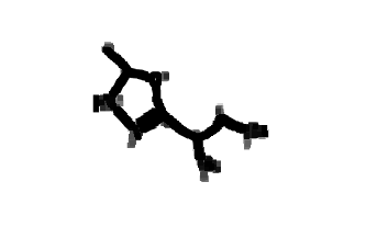 CC1NN=C(C(CC(C)(C)C)C(C)(C)C)O1